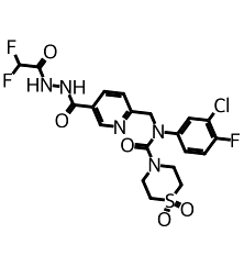 O=C(NNC(=O)C(F)F)c1ccc(CN(C(=O)N2CCS(=O)(=O)CC2)c2ccc(F)c(Cl)c2)nc1